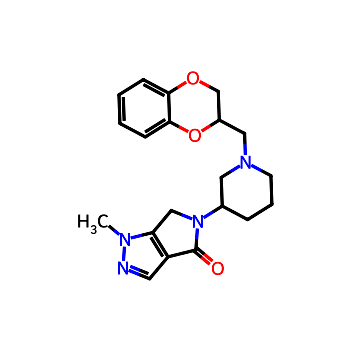 Cn1ncc2c1CN(C1CCCN(CC3COc4ccccc4O3)C1)C2=O